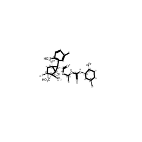 Cc1ccc(S(=O)(=O)O)c([C@]2(C(=O)O[C@H](C)OC(=O)O[C@@H]3C[C@H](C)CC[C@H]3C(C)C)[C@@H]3C[C@H](F)[C@@](N)(C(=O)O)[C@@H]32)c1